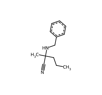 CCCC(C)(C#N)NCc1ccccc1